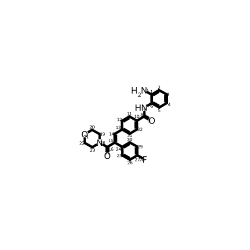 Nc1ccccc1NC(=O)c1ccc(/C=C(/C(=O)N2CCOCC2)c2ccc(F)cc2)cc1